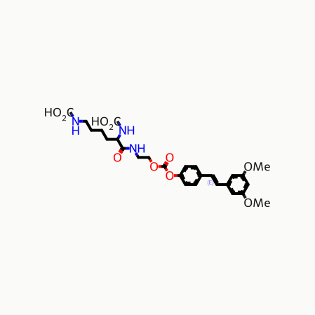 COc1cc(/C=C/c2ccc(OC(=O)OCCNC(=O)C(CCCCNC(=O)O)NC(=O)O)cc2)cc(OC)c1